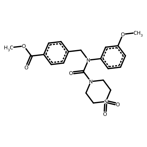 COC(=O)c1ccc(CN(C(=O)N2CCS(=O)(=O)CC2)c2cccc(OC)c2)cc1